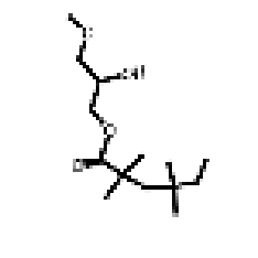 CCC(C)(C)CC(C)(C)C(=O)OCC(O)COC